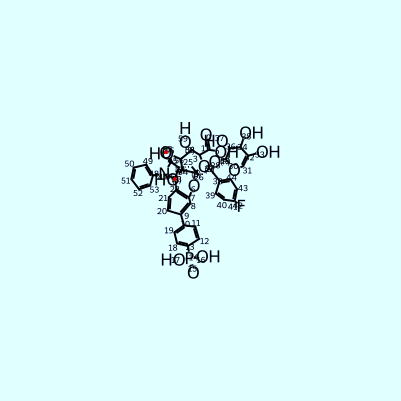 O=C(O)C1O[C@@H](Oc2cc(-c3ccc(P(=O)(O)O)cc3)ccc2[C@@H]2[C@@H](CC[C@H](O[C@@H]3OC=C(O)C(O)C3O)c3ccc(F)cc3)C(=O)N2c2ccccc2)C(O)C(O)[C@@H]1O